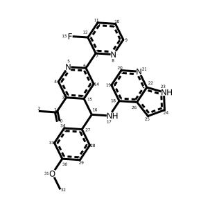 C=C(C)c1cnc(-c2ncccc2F)cc1C(Nc1ccnc2[nH]ccc12)c1ccc(OC)cc1